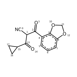 N#CC(C(=O)c1cccc2c1OCO2)C(=O)C1CC1